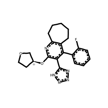 Fc1ccccc1-c1c2c(nc(O[C@H]3CCOC3)c1-c1nnn[nH]1)CCCCC2